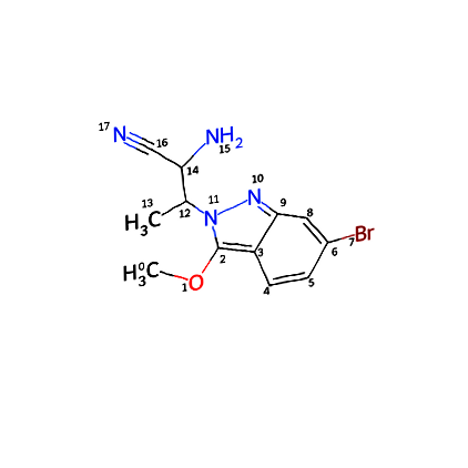 COc1c2ccc(Br)cc2nn1C(C)C(N)C#N